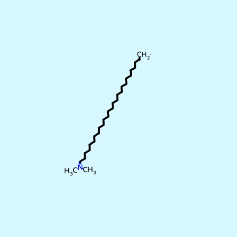 [CH2]CCCCCCCCCCCCCCCCCCCCCCCCCCN(C)C